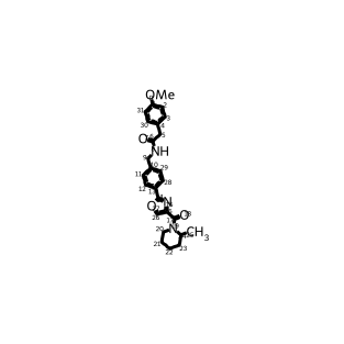 COc1ccc(CC(=O)NCc2ccc(-c3nc(C(=O)N4CCCCC4C)co3)cc2)cc1